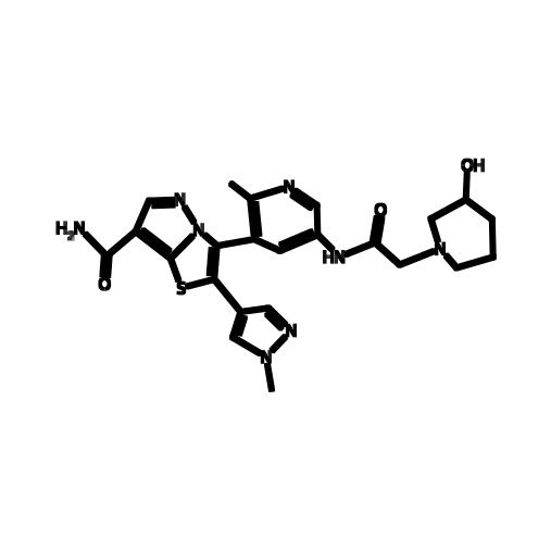 Cc1ncc(NC(=O)CN2CCCC(O)C2)cc1-c1c(-c2cnn(C)c2)sc2c(C(N)=O)cnn12